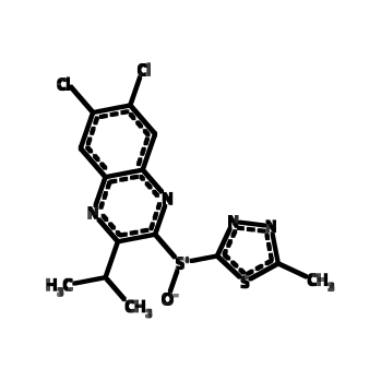 Cc1nnc([S+]([O-])c2nc3cc(Cl)c(Cl)cc3nc2C(C)C)s1